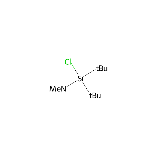 CN[Si](Cl)(C(C)(C)C)C(C)(C)C